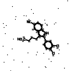 N#Cc1ccc2[nH]c(-c3ccc(Cl)c(Cl)c3)c(CCCC(=O)O)c2c1